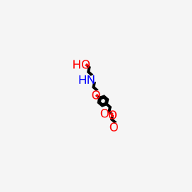 O=CCOC(=O)Cc1ccc(OCCCNCCCO)cc1